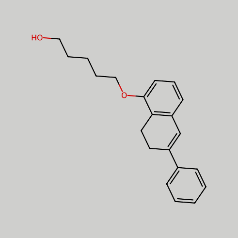 OCCCCCOc1cccc2c1CCC(c1ccccc1)=C2